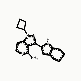 Nc1nccc2c1c(-c1cc3ccccc3[nH]1)nn2C1CCC1